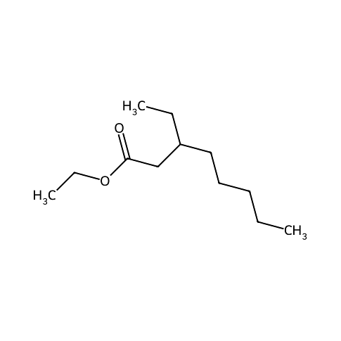 CCCCCC(CC)CC(=O)OCC